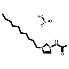 CCCCCCCCCCN1C=CN(NC(C)=O)C1.O=[N+]([O-])O